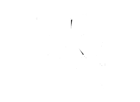 C=CCC1C(OC)[C@H](n2ccc(=O)[nH]c2=O)O[C@@H]1CO